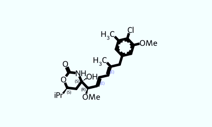 COc1cc(C/C(C)=C/C=C/[C@@H](OC)[C@@]2(O)C[C@@H](C(C)C)OC(=O)N2)cc(C)c1Cl